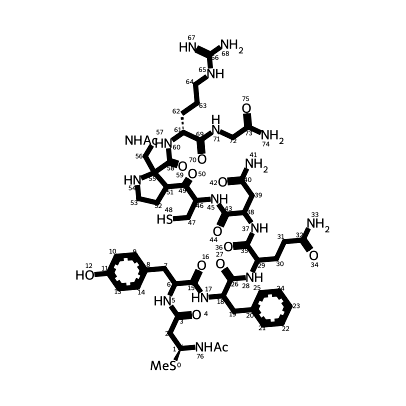 CS[C@@H](CC(=O)NC(Cc1ccc(O)cc1)C(=O)NC(Cc1ccccc1)C(=O)NC(CCC(N)=O)C(=O)NC(CC(N)=O)C(=O)NC(CS)C(=O)C1CCNC1(CNC(C)=O)C(=O)N[C@H](CCCNC(=N)N)C(=O)NCC(N)=O)NC(C)=O